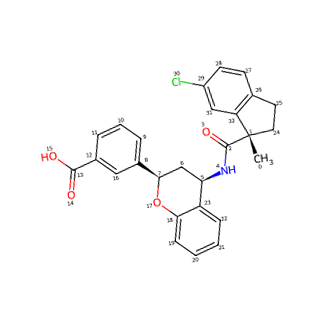 C[C@]1(C(=O)N[C@@H]2C[C@H](c3cccc(C(=O)O)c3)Oc3ccccc32)CCc2ccc(Cl)cc21